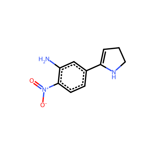 Nc1cc(C2=CCCN2)ccc1[N+](=O)[O-]